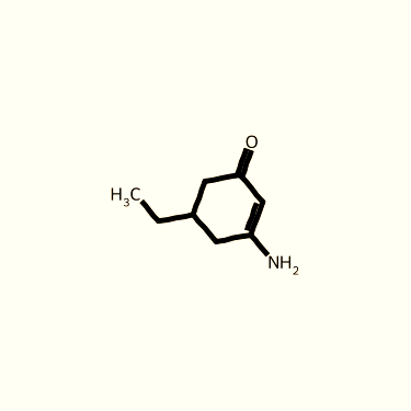 CCC1CC(=O)C=C(N)C1